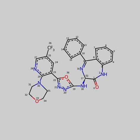 O=C1Nc2ccccc2C(c2ccccc2)=N[C@@H]1Nc1nnc(-c2cc(C(F)(F)F)cnc2N2CCOCC2)o1